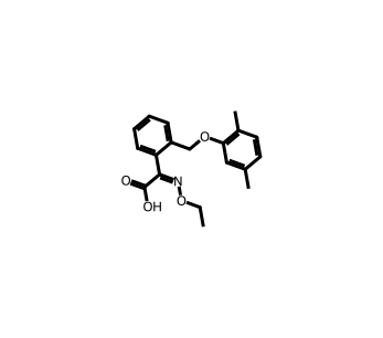 CCON=C(C(=O)O)c1ccccc1COc1cc(C)ccc1C